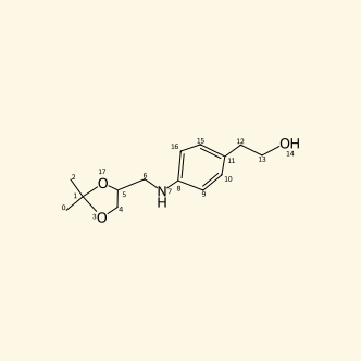 CC1(C)OCC(CNc2ccc(CCO)cc2)O1